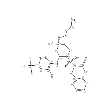 COCCO[N+]1(C)CCN(S(=O)(=O)N(Cc2ccccc2)C(=O)[O-])C(Oc2ncc(C(F)(F)F)cc2Cl)C1